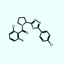 O=C(c1c(F)cccc1Cl)N1CCCC1c1nnc(-c2ccc(Cl)cc2)o1